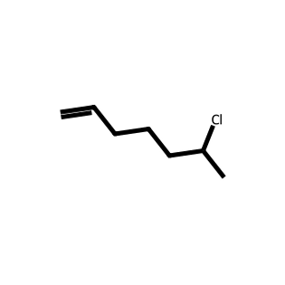 C=CCCCC(C)Cl